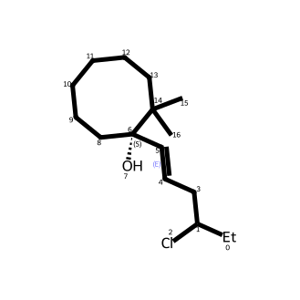 CCC(Cl)C/C=C/[C@@]1(O)CCCCCCC1(C)C